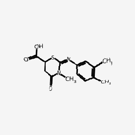 Cc1ccc(/N=C2/SC(C(=O)O)CC(=O)N2C)cc1C